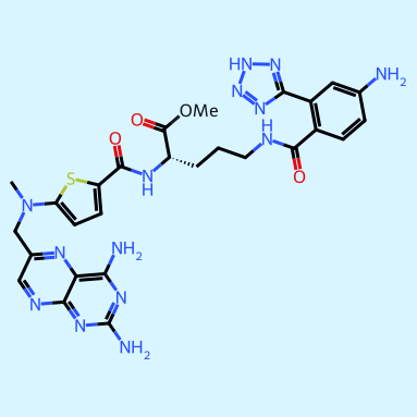 COC(=O)[C@H](CCCNC(=O)c1ccc(N)cc1-c1nn[nH]n1)NC(=O)c1ccc(N(C)Cc2cnc3nc(N)nc(N)c3n2)s1